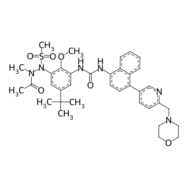 COc1c(NC(=O)Nc2ccc(-c3ccc(CN4CCOCC4)nc3)c3ccccc23)cc(C(C)(C)C)cc1N(N(C)C(C)=O)S(C)(=O)=O